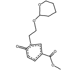 COC(=O)c1ccc(=O)n(CCOC2CCCCO2)c1